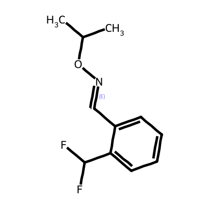 CC(C)O/N=[C]/c1ccccc1C(F)F